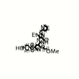 CCc1c2nc(-c3cc(S(=O)(=O)N4CCN(O)CC4)cnc3OCCOC)[nH]c(=O)c2nn1Cc1ccccn1